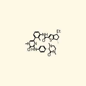 CC[C@@H]1C[C@H](C)c2sc(C(=O)Nc3cccc(-c4cn(C)c(=O)c(Nc5ccc([C@H]6C(=O)N(C)CCN6C)cc5)n4)c3C)cc21